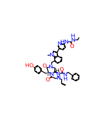 C=CCN1CC(=O)N2[C@@H](Cc3ccc(O)cc3)C(=O)N(Cc3cccc4c(-c5ccc(NC(=O)NCC)nc5)cn(C)c34)C[C@@H]2N1C(=O)NCc1ccccc1